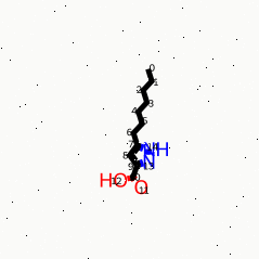 CCCCCCCc1cc(C(=O)O)n[nH]1